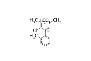 C=C(C)/C=C(\C(Cl)=C(C)C)c1ccccc1C